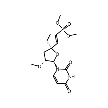 CC[C@@]1(/C=C/P(=O)(OC)OC)C[C@@H](OC)[C@H](n2ccc(=O)[nH]c2=O)O1